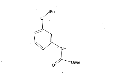 [CH2]OC(=O)Nc1cccc(OC(C)CC)c1